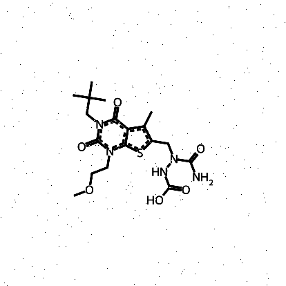 COCCn1c(=O)n(CC(C)(C)C)c(=O)c2c(C)c(CN(NC(=O)O)C(N)=O)sc21